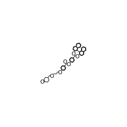 O=C(Oc1ccc(C2Oc3ccc4ccccc4c3-c3c(ccc4ccccc34)O2)cc1)c1ccc(OCCCOCC2CCC3OC3C2)cc1